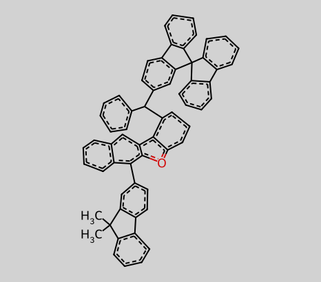 CC1(C)c2ccccc2-c2ccc(-c3c4ccccc4cc4c3oc3cccc(C(c5ccccc5)c5ccc6c(c5)C5(c7ccccc7-c7ccccc75)c5ccccc5-6)c34)cc21